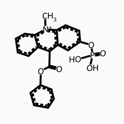 C[n+]1c2ccccc2c(C(=O)Oc2ccccc2)c2cc(OP(=O)(O)O)ccc21